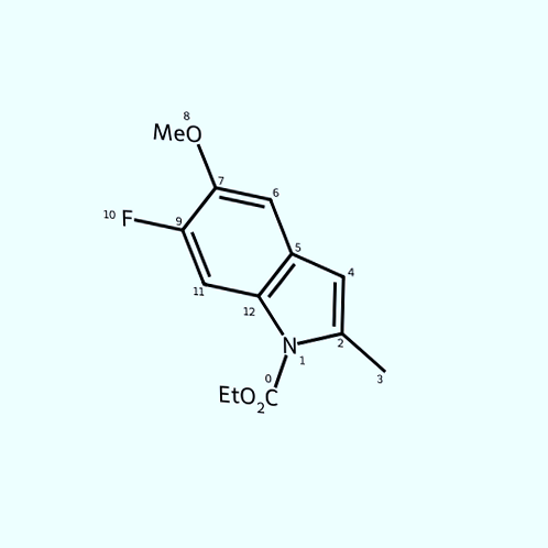 CCOC(=O)n1c(C)cc2cc(OC)c(F)cc21